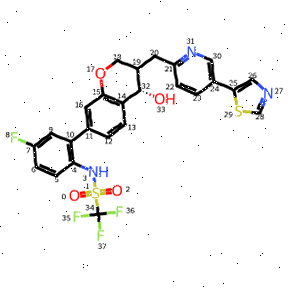 O=S(=O)(Nc1ccc(F)cc1-c1ccc2c(c1)OCC(Cc1ccc(-c3cncs3)cn1)[C@@H]2O)C(F)(F)F